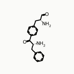 N[C@H](Cc1ccccc1)C(=O)c1ccc(C[C@@H](N)C=O)cc1